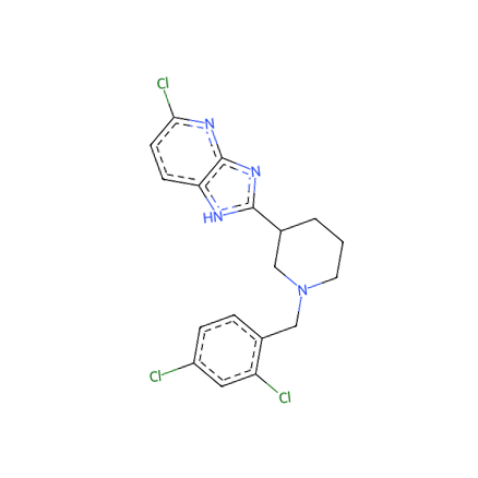 Clc1ccc(CN2CCCC(c3nc4nc(Cl)ccc4[nH]3)C2)c(Cl)c1